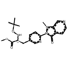 COC(=O)[C@H](Cc1ccc(-n2c(=O)c3ccncc3n2C)nc1)NOC(C)(C)C